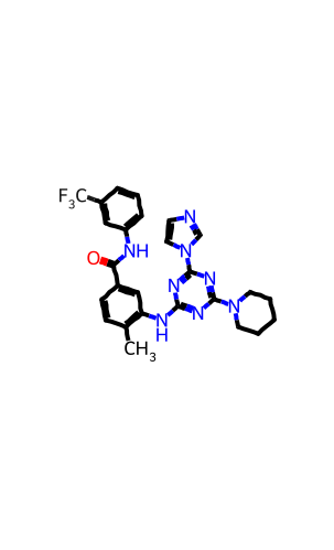 Cc1ccc(C(=O)Nc2cccc(C(F)(F)F)c2)cc1Nc1nc(N2CCCCC2)nc(-n2ccnc2)n1